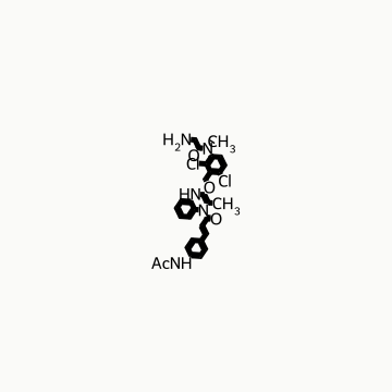 CC(=O)Nc1ccc(C=CC(=O)N2C(C)=C(OCc3c(Cl)ccc(N(C)C(=O)CN)c3Cl)Nc3ccccc32)cc1